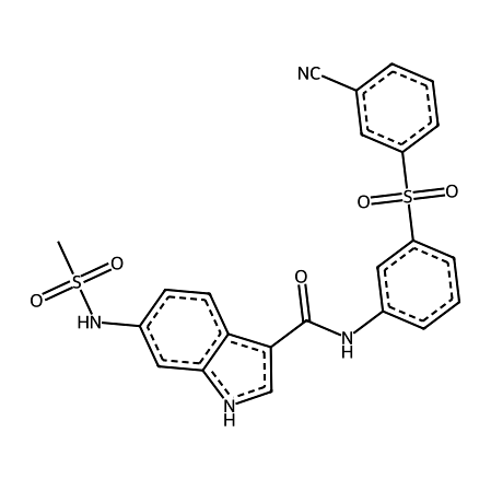 CS(=O)(=O)Nc1ccc2c(C(=O)Nc3cccc(S(=O)(=O)c4cccc(C#N)c4)c3)c[nH]c2c1